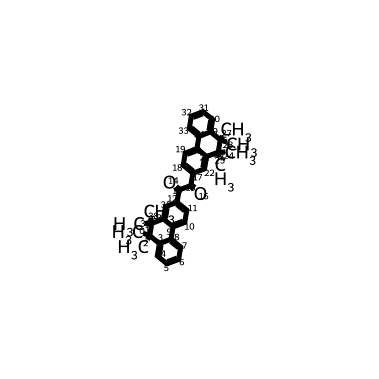 CC1(C)c2ccccc2-c2ccc(C(=O)C(=O)c3ccc4c(c3)C(C)(C)C(C)(C)c3ccccc3-4)cc2C1(C)C